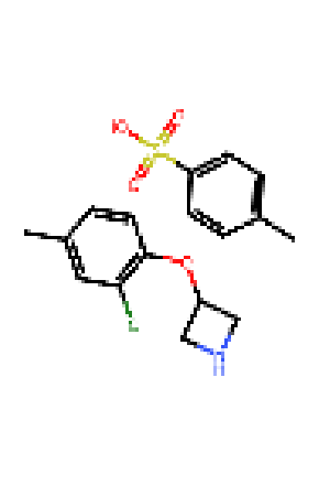 Cc1ccc(OC2CNC2)c(Cl)c1.Cc1ccc(S(=O)(=O)O)cc1